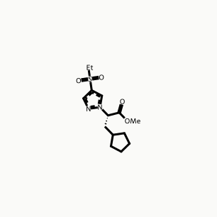 CCS(=O)(=O)c1cnn([C@@H](CC2CCCC2)C(=O)OC)c1